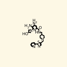 Nc1cc(C(=O)NCC2CCN(Cc3cnc(-c4ccccn4)s3)CC2)nc(N2CC(O)C2)c1N